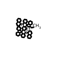 C/C=C\C=C(/CC)C1(c2ccccc2)c2ccccc2N(c2cccc3ccccc23)c2cc3c(cc21)N(c1cccc2ccccc12)c1ccccc1C3(c1ccccc1)c1ccccc1